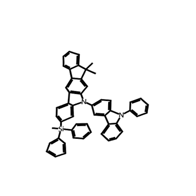 CC1(C)c2ccccc2-c2cc3c4ccc([Si](C)(c5ccccc5)c5ccccc5)cc4n(-c4ccc5c(c4)c4ccccc4n5-c4ccccc4)c3cc21